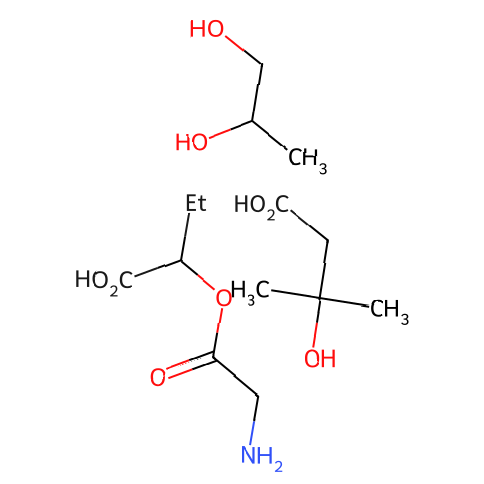 CC(C)(O)CC(=O)O.CC(O)CO.CCC(OC(=O)CN)C(=O)O